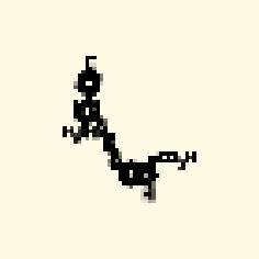 Cc1cnc(-c2ccc(F)cc2)nc1CNCCCOc1ccc2[nH]cc(CC(=O)O)c2c1